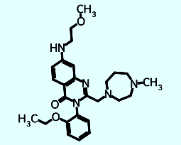 CCOc1ccccc1-n1c(CN2CCCN(C)CC2)nc2cc(NCCOC)ccc2c1=O